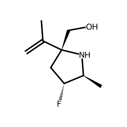 C=C(C)[C@@]1(CO)C[C@@H](F)[C@H](C)N1